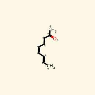 C/C=C/C=C\CCC(C)=O